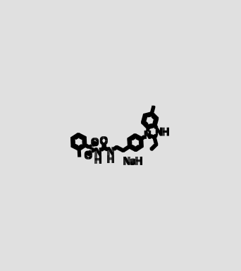 CCC1Nc2cc(C)ccc2N1c1ccc(CCNC(=O)NS(=O)(=O)c2ccccc2C)cc1.[NaH]